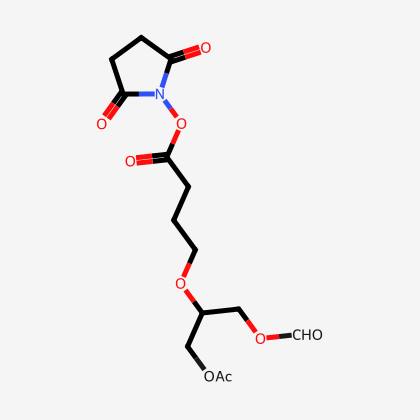 CC(=O)OCC(COC=O)OCCCC(=O)ON1C(=O)CCC1=O